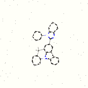 CC1(C)c2ccccc2-n2c3ccccc3c3cc(-c4nc5ccccc5n4-c4ccccc4)cc1c32